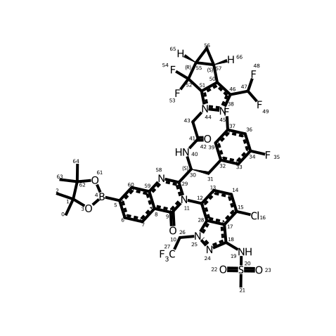 CC1(C)OB(c2ccc3c(=O)n(-c4ccc(Cl)c5c(NS(C)(=O)=O)nn(CC(F)(F)F)c45)c([C@H](Cc4cc(F)cc(F)c4)NC(=O)Cn4nc(C(F)F)c5c4C(F)(F)[C@@H]4C[C@H]54)nc3c2)OC1(C)C